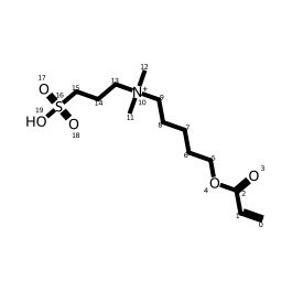 C=CC(=O)OCCCCC[N+](C)(C)CCCS(=O)(=O)O